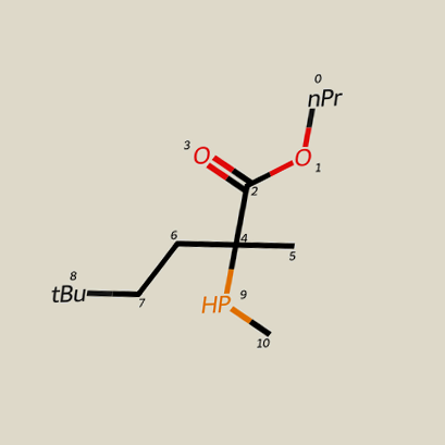 CCCOC(=O)C(C)(CCC(C)(C)C)PC